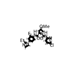 CCc1nccn1-c1ccc(NC(=O)[C@H]2C[C@@H](OC)CN2C(=O)Nc2ccc(Cl)cn2)c(F)c1